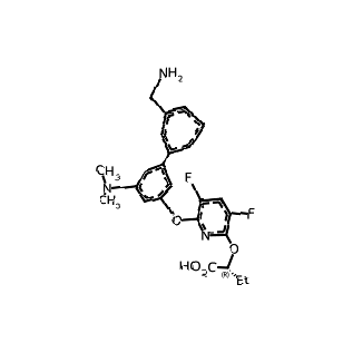 CC[C@@H](Oc1nc(Oc2cc(-c3cccc(CN)c3)cc(N(C)C)c2)c(F)cc1F)C(=O)O